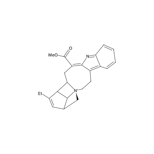 CCC1=CC2C[N@+]34CCC5=c6ccccc6=N/C5=C(\C(=O)OC)CC3C1C24